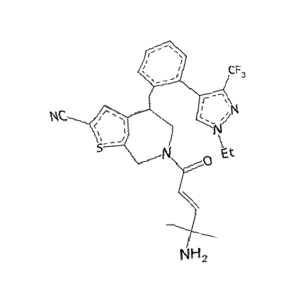 CCn1cc(-c2ccccc2C2CN(C(=O)/C=C/C(C)(C)N)Cc3sc(C#N)cc32)c(C(F)(F)F)n1